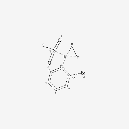 CS(=O)(=O)C1(c2ccccc2Br)CC1